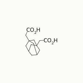 O=C(O)CC12CC3CC(C1)CC(CC(=O)O)(C3)C2